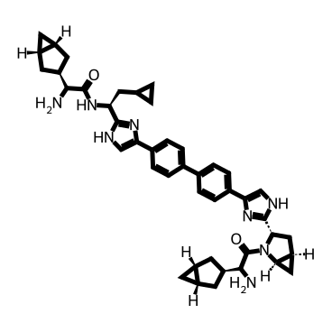 NC(C(=O)N[C@@H](CC1CC1)c1nc(-c2ccc(-c3ccc(-c4c[nH]c([C@@H]5C[C@H]6C[C@H]6N5C(=O)C(N)[C@H]5C[C@@H]6C[C@@H]6C5)n4)cc3)cc2)c[nH]1)[C@H]1C[C@@H]2C[C@@H]2C1